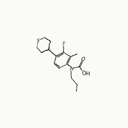 CCCN(C(=O)O)c1ccc(C2CCSCC2)c(F)c1C